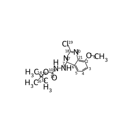 COc1cccc2c(NNC(=O)OC(C)(C)C)nc(Cl)nc12